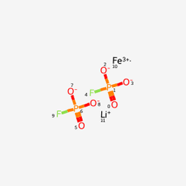 O=P([O-])([O-])F.O=P([O-])([O-])F.[Fe+3].[Li+]